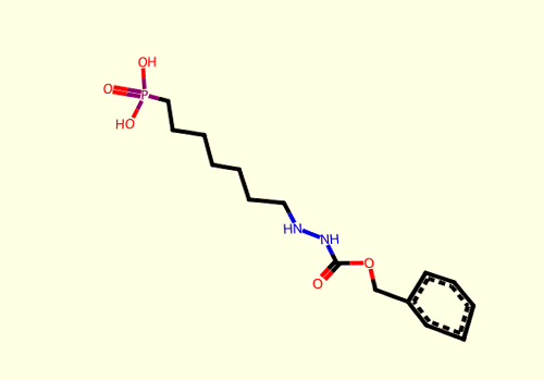 O=C(NNCCCCCCCP(=O)(O)O)OCc1ccccc1